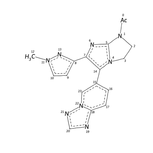 CC(=O)N1CCn2c1nc(-c1ccn(C)n1)c2-c1ccc2ncnn2c1